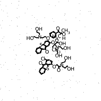 CC(C)(O)C(=O)c1ccc(OCCN(CCO)CCO)cc1.CCC(Oc1ccc2sc3ccccc3c(=O)c2c1)(C(=O)O)N(CCO)CCO.O=C(COc1ccc(Cl)c2c(=O)c3ccccc3sc12)N(CCO)CCO